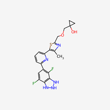 Cc1nc(COCC2(O)CC2)sc1-c1cccc(-c2cc(F)c3c(c2F)NNN3)n1